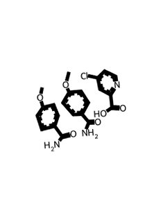 COc1ccc(C(N)=O)cc1.COc1ccc(C(N)=O)cc1.O=C(O)c1cc(Cl)ccn1